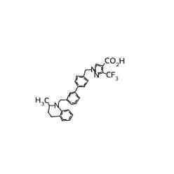 CC1CCc2ccccc2N1Cc1cccc(-c2ccc(Cn3cc(C(=O)O)c(C(F)(F)F)n3)cc2)c1